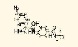 CC(C)(C)NC(=O)c1ccc(N/C(O)=C(\C=N)c2ccc(C#N)cc2)nc1